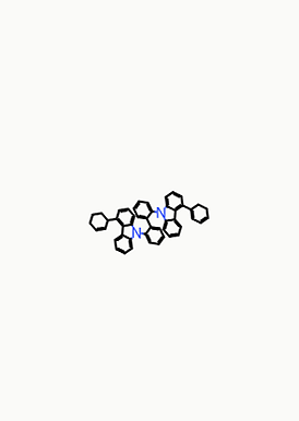 C1=CCCC(c2cccc3c2c2ccccc2n3-c2ccccc2-c2ccccc2-n2c3ccccc3c3c(C4C=CCCC4)cccc32)=C1